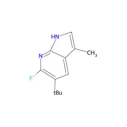 Cc1c[nH]c2nc(F)c(C(C)(C)C)cc12